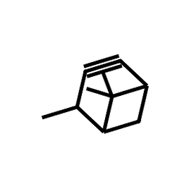 CC1C#CC2CC1C2(C)C